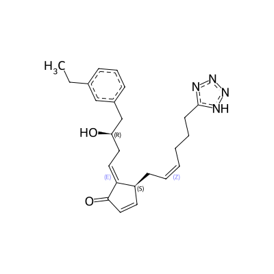 CCc1cccc(C[C@H](O)C/C=C2/C(=O)C=C[C@@H]2C/C=C\CCCc2nnn[nH]2)c1